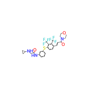 O=C(CNC1CC1)Nc1cccc(Sc2ccc(/C=C/C(=O)N3CCOCC3)c(C(F)(F)F)c2C(F)(F)F)c1